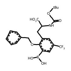 CC(C)(C)OC(=O)NC(Cc1cc(C(F)(F)F)cc(B(O)O)c1OCc1ccccc1)C(=O)O